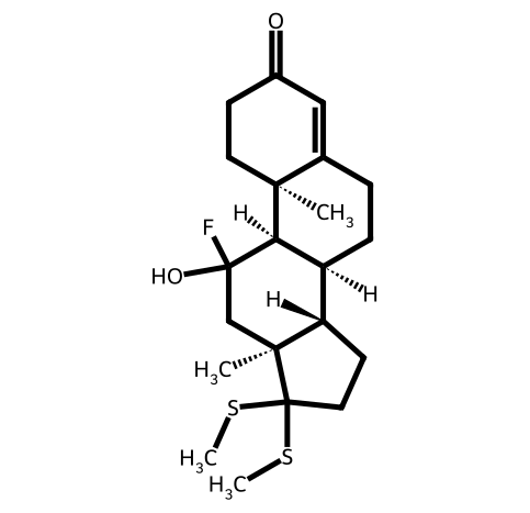 CSC1(SC)CC[C@H]2[C@@H]3CCC4=CC(=O)CC[C@]4(C)[C@@H]3C(O)(F)C[C@@]21C